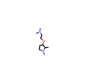 CC1[C@H](OCCN(C)C)CCN1C